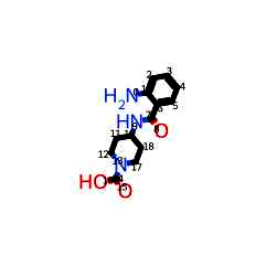 Nc1ccccc1C(=O)NC1CCN(C(=O)O)CC1